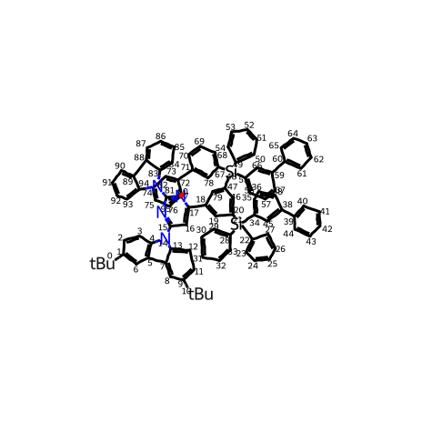 CC(C)(C)c1ccc2c(c1)c1cc(C(C)(C)C)ccc1n2-c1cc(-c2cc([Si](c3ccccc3)(c3ccccc3)c3cccc(-c4ccccc4)c3)cc([Si](c3ccccc3)(c3cccc(-c4ccccc4)c3)c3cccc(-c4ccccc4)c3)c2)nc(-n2c3ccccc3c3ccccc32)n1